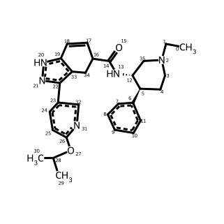 CCN1CC[C@@H](c2ccccc2)[C@H](NC(=O)C2C=Cc3[nH]nc(-c4ccc(OC(C)C)nc4)c3C2)C1